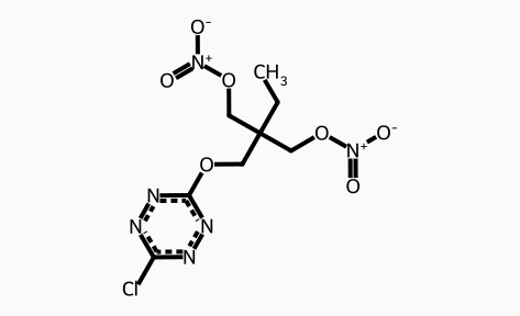 CCC(COc1nnc(Cl)nn1)(CO[N+](=O)[O-])CO[N+](=O)[O-]